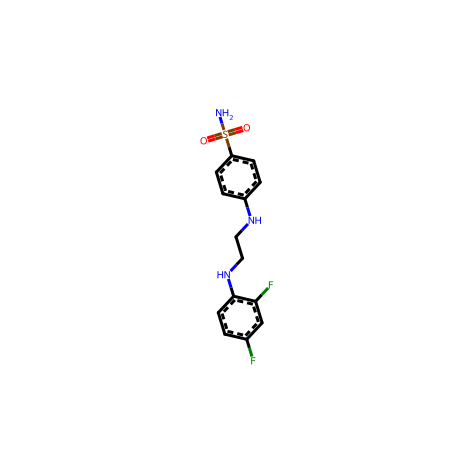 NS(=O)(=O)c1ccc(NCCNc2ccc(F)cc2F)cc1